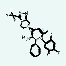 C/C(=C/C(=O)N1CCn2c(nnc2C(F)(F)F)C1)N(c1cc(F)c(F)cc1F)[C@H](C(N)=O)c1ccccc1